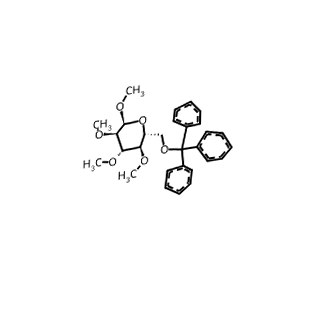 CO[C@H]1O[C@H](COC(c2ccccc2)(c2ccccc2)c2ccccc2)[C@@H](OC)[C@H](OC)[C@H]1OC